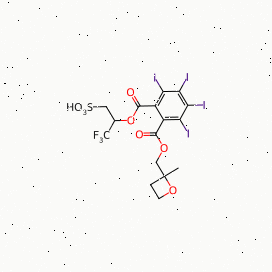 CC1(COC(=O)c2c(I)c(I)c(I)c(I)c2C(=O)OC(CS(=O)(=O)O)C(F)(F)F)CCO1